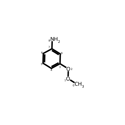 COOc1cccc(N)c1